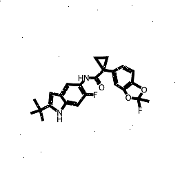 CC1(F)Oc2ccc(C3(C(=O)Nc4cc5cc(C(C)(C)C)[nH]c5cc4F)CC3)cc2O1